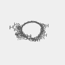 COC(=O)[C@H](N)NC(=O)[C@H]1[C@@H]2C[C@@H](O[C@@H]3O[C@H](C)[C@@H](O)[C@H](N)[C@@H]3O)/C=C/C=C/C=C/C=C/C=C/C=C/C=C/[C@H](C)[C@@H](O)[C@@H](C)[C@H](C)OC(=O)C[C@H](O)C[C@H](O)CC[C@@H](O)[C@H](O)C[C@H](O)C[C@](O)(C[C@@H]1O)O2